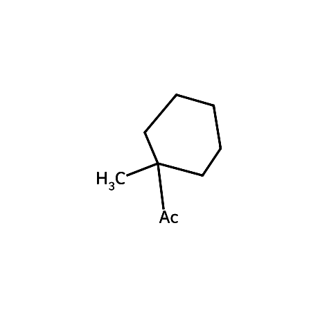 CC(=O)C1(C)CCCCC1